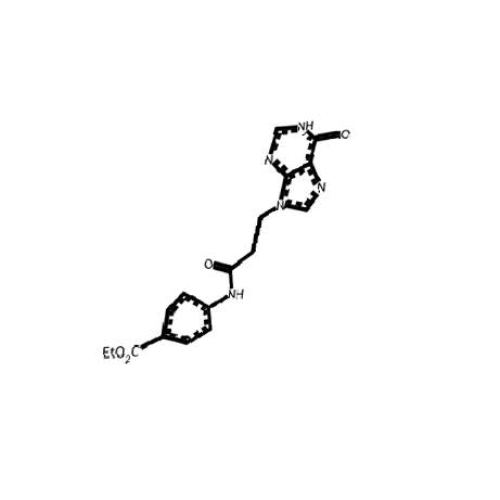 CCOC(=O)c1ccc(NC(=O)CCn2cnc3c(=O)[nH]cnc32)cc1